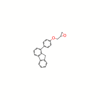 c1ccc2c(c1)Cc1c(-c3ccc(OCC4CO4)cc3)cccc1-2